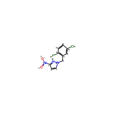 O=[N+]([O-])c1ccn(Cc2cc(Cl)ccc2F)n1